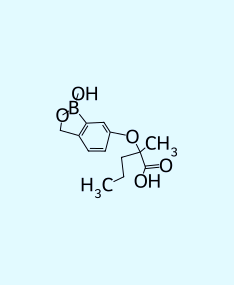 CCCC(C)(Oc1ccc2c(c1)B(O)OC2)C(=O)O